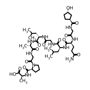 CC(C)C[C@H](NC(=O)CNC(=O)[C@H](CC(C)C)NC(=O)[C@H](CCC(N)=O)NC(=O)CNC(=O)[C@H]1CC[C@H](O)C1)C(=O)N[C@@H](C)C(=O)NCC(=O)N1CCC[C@H]1C(=O)N[C@@H](C)C(=O)O